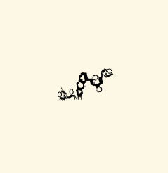 C[C@@H]1CN(CC(=O)Nc2ccc3c(c2)Cc2cccc(-c4cc(=O)cc(N5CCOCC5)o4)c2C3)C[C@H](C)O1